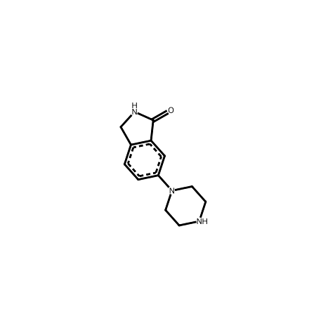 O=C1NCc2ccc(N3CCNCC3)cc21